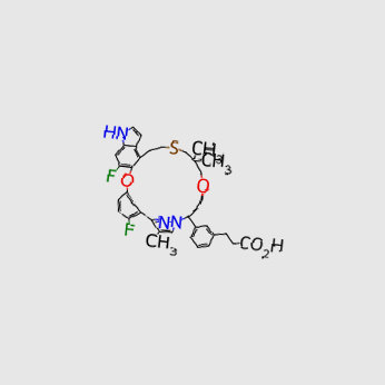 Cc1cn2nc1-c1cc(ccc1F)Oc1c(F)cc3[nH]ccc3c1CCSCC(C)(C)COCCC2c1cccc(CCC(=O)O)c1